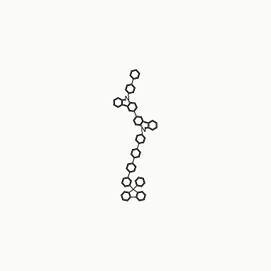 c1ccc(-c2ccc(-n3c4ccccc4c4cc(-c5ccc6c(c5)c5ccccc5n6-c5ccc(-c6ccc(-c7ccc(-c8cccc(C9(c%10ccccc%10)c%10ccccc%10-c%10ccccc%109)c8)cc7)cc6)cc5)ccc43)cc2)cc1